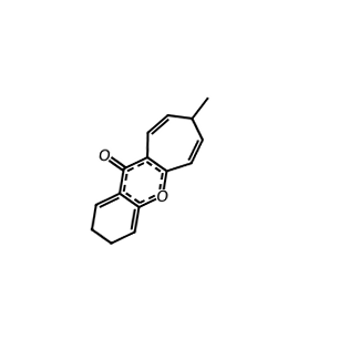 CC1C=Cc2oc3c(c(=O)c2C=C1)=CCCC=3